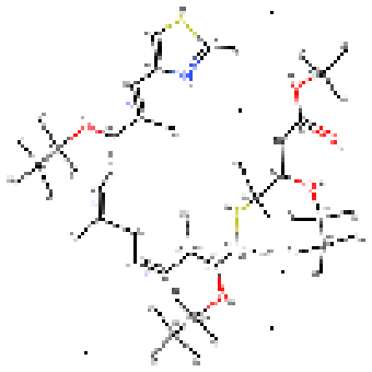 C/C(=C/C[C@H](O[Si](C)(C)C(C)(C)C)/C(C)=C/c1csc(C)n1)C/C=C\[C@H](C)[C@H](O[Si](C)(C)C(C)(C)C)[C@@H](C)SC(C)(C)C(CC(=O)OC(C)(C)C)O[Si](C)(C)C(C)(C)C